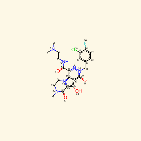 CN(C)CCNC(=O)c1nn(Cc2ccc(F)c(Cl)c2)c(=O)c2c(O)c3n(c12)CCN(C)C3=O